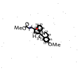 COC(=O)/C=C/c1ccc(C2(C)c3ccc(OC)cc3CCN2c2ccccc2)cc1